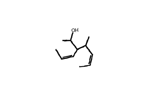 C/C=C\C(C)C(/C=C\C)C(C)O